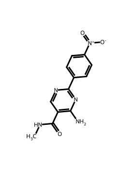 CNC(=O)c1cnc(-c2ccc([N+](=O)[O-])cc2)nc1N